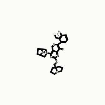 CCc1c(Cl)cccc1-c1ncc2c(N3CC4CCC(C3)N4)nc(OCC34CCCN3CCC4)nc2c1F